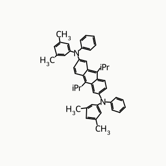 Cc1cc(C)cc(N(c2ccccc2)c2ccc3c(C(C)C)c4cc(N(c5ccccc5)c5cc(C)cc(C)c5)ccc4c(C(C)C)c3c2)c1